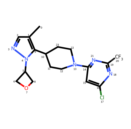 Cc1cnn(C2COC2)c1C1CCN(c2cc(Cl)nc(C(F)(F)F)n2)CC1